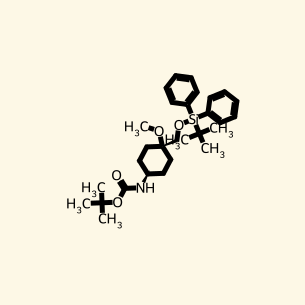 CO[C@]1(CO[Si](c2ccccc2)(c2ccccc2)C(C)(C)C)CC[C@@H](NC(=O)OC(C)(C)C)CC1